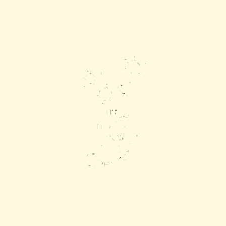 Cc1ncsc1-c1ccc(CNC(=O)[C@@H]([SiH3])C2CCCN2C(=O)[C@@H](C(C)C)C2Cc3ccccc3C2O)c(C(=O)OCc2ccccc2)c1